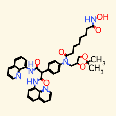 CC1(C)OCC(CN(C(=O)CCCCCCC(=O)NO)c2ccc(C(C(=O)Nc3cccc4cccnc34)C(=O)Nc3cccc4cccnc34)cc2)O1